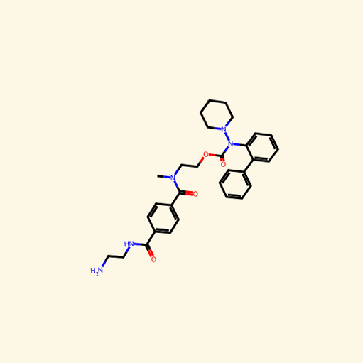 CN(CCOC(=O)N(c1ccccc1-c1ccccc1)N1CC[CH]CC1)C(=O)c1ccc(C(=O)NCCN)cc1